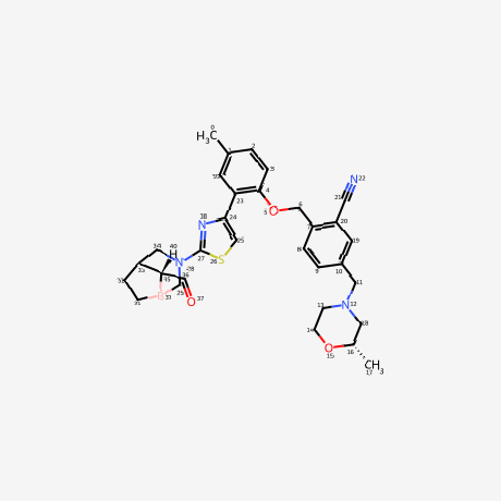 Cc1ccc(OCc2ccc(CN3CCO[C@@H](C)C3)cc2C#N)c(-c2csc(N3CB4CCC(C3)[C@@H]4C=O)n2)c1